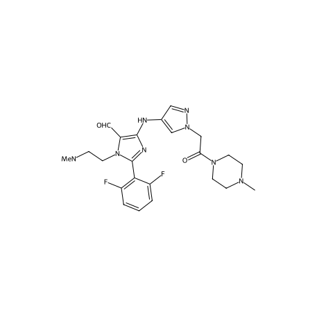 CNCCn1c(-c2c(F)cccc2F)nc(Nc2cnn(CC(=O)N3CCN(C)CC3)c2)c1C=O